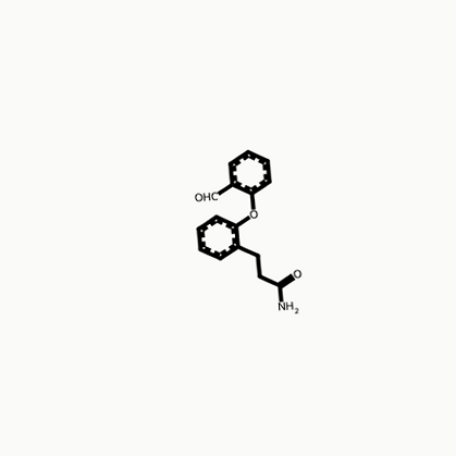 NC(=O)CCc1ccccc1Oc1ccccc1C=O